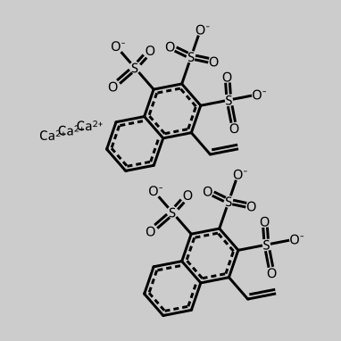 C=Cc1c(S(=O)(=O)[O-])c(S(=O)(=O)[O-])c(S(=O)(=O)[O-])c2ccccc12.C=Cc1c(S(=O)(=O)[O-])c(S(=O)(=O)[O-])c(S(=O)(=O)[O-])c2ccccc12.[Ca+2].[Ca+2].[Ca+2]